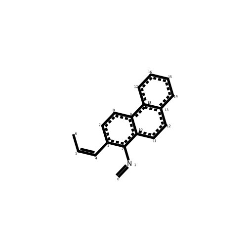 C=Nc1c(/C=C\C)ccc2c1ccc1ccccc12